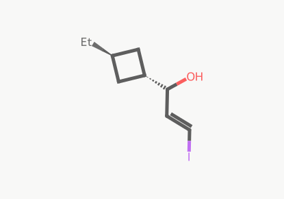 CC[C@H]1C[C@H](C(O)C=CI)C1